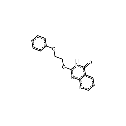 O=c1[nH]c(OCCOc2ccccc2)nc2ncccc12